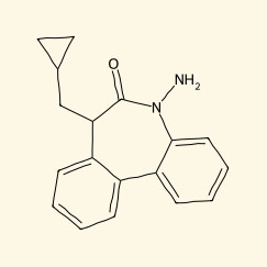 NN1C(=O)C(CC2CC2)c2ccccc2-c2ccccc21